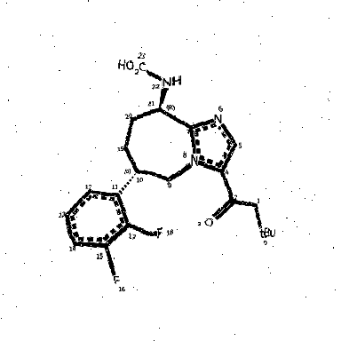 CC(C)(C)CC(=O)c1cnc2n1C[C@H](c1cccc(F)c1F)CC[C@H]2NC(=O)O